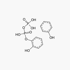 O=P(O)(O)OP(=O)(O)Oc1ccccc1O.Oc1ccccc1